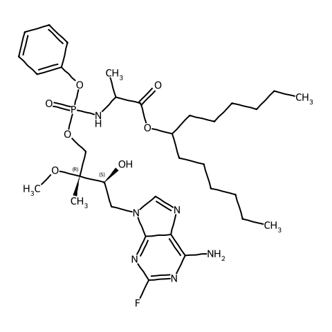 CCCCCCC(CCCCCC)OC(=O)C(C)NP(=O)(OC[C@@](C)(OC)[C@@H](O)Cn1cnc2c(N)nc(F)nc21)Oc1ccccc1